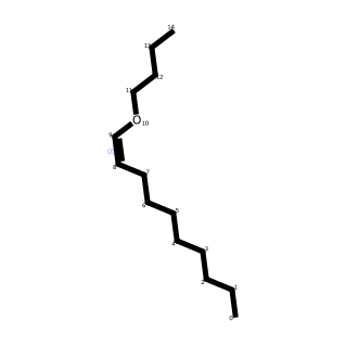 CCCCCCCC/C=C\OCCCC